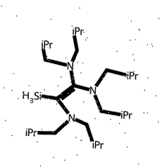 CC(C)CN(CC(C)C)C([SiH3])=C(N(CC(C)C)CC(C)C)N(CC(C)C)CC(C)C